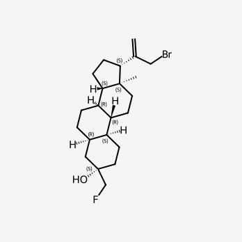 C=C(CBr)[C@H]1CC[C@H]2[C@@H]3CC[C@@H]4C[C@](O)(CF)CC[C@@H]4[C@H]3CC[C@]12C